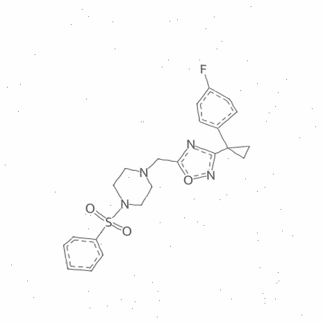 O=S(=O)(c1ccccc1)N1CCN(Cc2nc(C3(c4ccc(F)cc4)CC3)no2)CC1